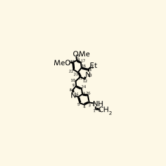 C=CNc1ccc2ncc(Cc3cnc(CC)c4cc(OC)c(OC)cc34)cc2c1